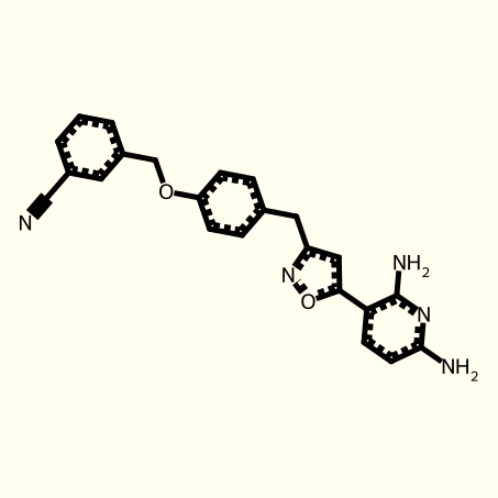 N#Cc1cccc(COc2ccc(Cc3cc(-c4ccc(N)nc4N)on3)cc2)c1